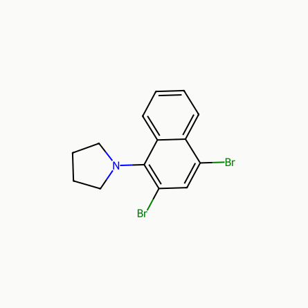 Brc1cc(Br)c2ccccc2c1N1CCCC1